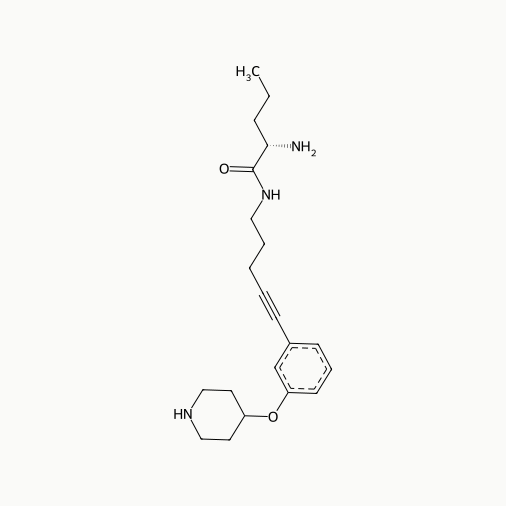 CCC[C@H](N)C(=O)NCCCC#Cc1cccc(OC2CCNCC2)c1